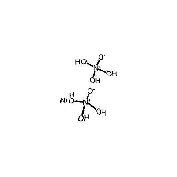 [Ni].[O-][N+](O)(O)O.[O-][N+](O)(O)O